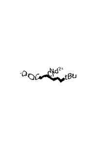 CC(C)(C)CCCCCC(=O)[O-].[Cl-].[Nd+2]